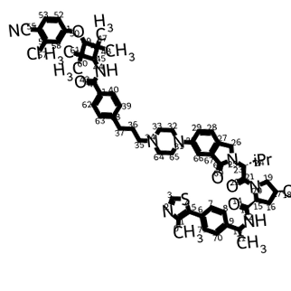 Cc1ncsc1-c1ccc([C@H](C)NC(=O)[C@@H]2C[C@@H](O)CN2C(=O)[C@@H](C(C)C)N2Cc3ccc(N4CCN(CCCc5ccc(C(=O)NC6C(C)(C)C(Oc7ccc(C#N)c(Cl)c7)C6(C)C)cc5)CC4)cc3C2=O)cc1